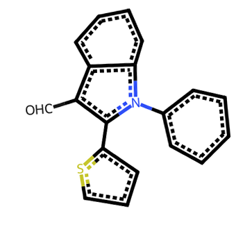 O=Cc1c(-c2cccs2)n(-c2ccccc2)c2ccccc12